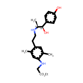 CCOC(=O)CNc1cc(C)c(CCN[C@@H](C)[C@H](O)c2ccc(O)cc2)cc1C